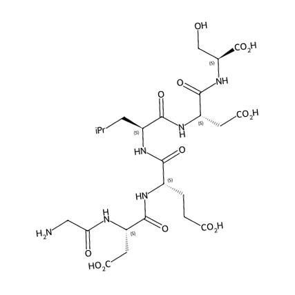 CC(C)C[C@H](NC(=O)[C@H](CCC(=O)O)NC(=O)[C@H](CC(=O)O)NC(=O)CN)C(=O)N[C@@H](CC(=O)O)C(=O)N[C@@H](CO)C(=O)O